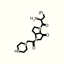 CC(C)CC(N)C(=O)N1CCC2C1C(=O)CN2C(=O)CN1CCNCC1